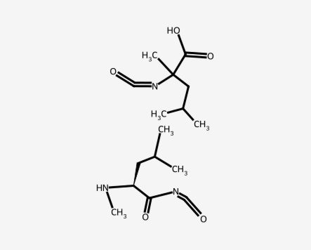 CC(C)CC(C)(N=C=O)C(=O)O.CN[C@@H](CC(C)C)C(=O)N=C=O